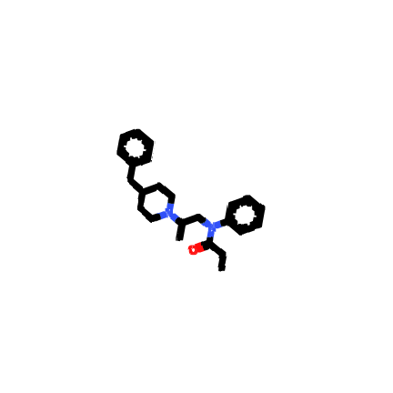 CCC(=O)N(CC(C)N1CCC(Cc2ccccc2)CC1)c1ccccc1